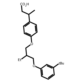 CCC(COc1ccc(C(C)CC(=O)O)cc1)COc1cccc(C(C)(C)C)c1